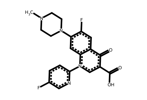 CN1CCN(c2cc3c(cc2F)c(=O)c(C(=O)O)cn3-c2ccc(F)cn2)CC1